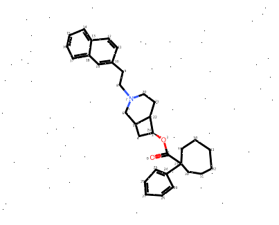 O=C(O[C@H]1CC2CN(CCc3ccc4ccccc4c3)CCC21)C1(c2ccccc2)CCCCCC1